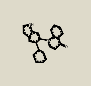 O=c1ccn(-c2cc3[nH]ccc3cc2-c2ccccc2)c2ccccc12